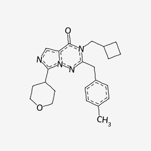 Cc1ccc(Cc2nn3c(C4CCOCC4)ncc3c(=O)n2CC2CCC2)cc1